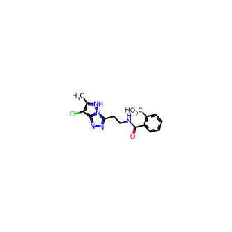 Cc1[nH]n2c(CCNC(=O)c3ccccc3C(=O)O)nnc2c1Cl